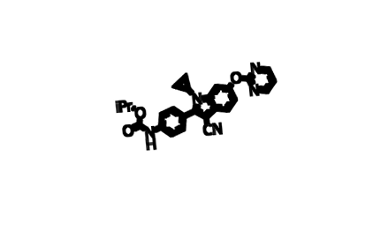 CC(C)OC(=O)Nc1ccc(-c2c(C#N)c3ccc(Oc4ncccn4)cc3n2C2CC2)cc1